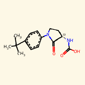 CC(C)(C)c1ccc(N2CC[C@H](NC(=O)O)C2=O)cc1